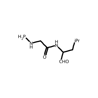 CC(C)CC(C=O)NC(=O)CNP